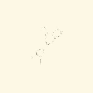 CCOC(=O)c1sc(-c2cc([N+](=O)[O-])c3[nH]ccc3c2)nc1C